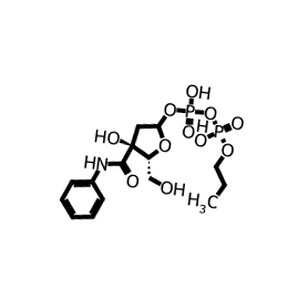 CCCOP(=O)(O)OP(=O)(O)OC1C[C@@](O)(C(=O)Nc2ccccc2)[C@@H](CO)O1